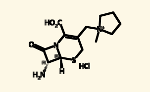 C[N+]1(CC2=C(C(=O)O)N3C(=O)[C@@H](N)[C@H]3SC2)CCCC1.Cl